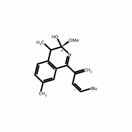 C=C(/C=C\C(C)(C)C)C1=N[C@](O)(OC)C(C)c2ccc(C)cc21